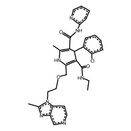 CCNC(=O)C1=C(COCCn2c(C)nc3cnccc32)NC(C)=C(C(=O)Nc2ccccn2)C1c1ccccc1Cl